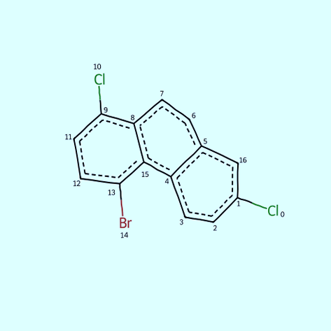 Clc1ccc2c(ccc3c(Cl)ccc(Br)c32)c1